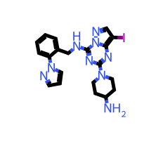 NC1CCN(c2nc(NCc3ccccc3-n3cccn3)n3ncc(I)c3n2)CC1